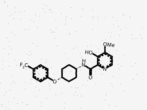 COc1ccnc(C(=O)N[C@H]2CC[C@@H](Oc3ccc(C(F)(F)F)cc3)CC2)c1O